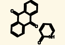 O=C1c2ccccc2C(=O)c2ccccc21.O=c1cccc[nH]1